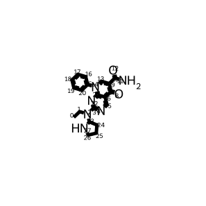 CCN(c1ncc2c(=O)c(C(N)=O)cn(-c3ccccc3)c2n1)C1CCCN1